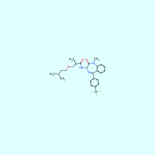 CC(C)CCOC[C@@H](C)C(=O)NC1N=C(c2ccc(C(F)(F)F)cc2)c2ccccc2N(C)C1=O